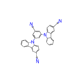 N#Cc1cc(-n2c3ccccc3c3cc(C#N)ccc32)cc(-n2c3ccccc3c3cc(C#N)ccc32)c1